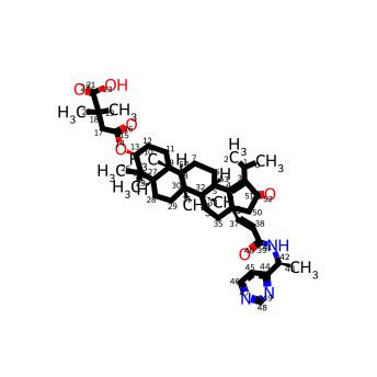 CC(C)C1=C2[C@H]3CC[C@@H]4[C@@]5(C)CC[C@H](OC(=O)CC(C)(C)C(=O)O)C(C)(C)[C@@H]5CC[C@@]4(C)[C@]3(C)CC[C@@]2(/C=C/C(=O)N[C@@H](C)c2ccncn2)CC1=O